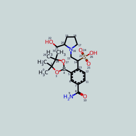 CC1(C)OB(c2cc(C(N)=O)ccc2C(CN2CCCC2CO)S(=O)(=O)O)OC1(C)C